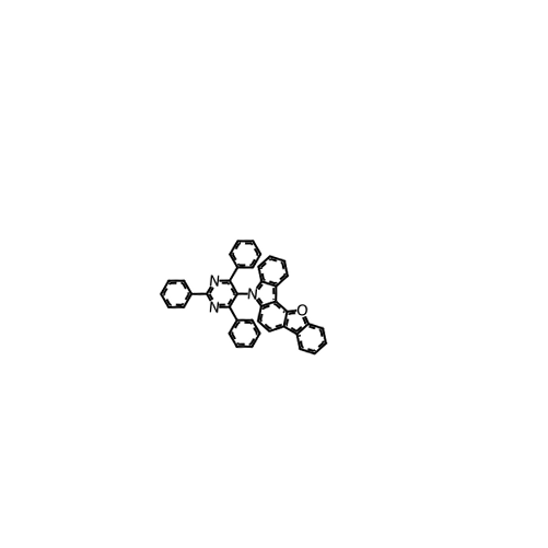 c1ccc(-c2nc(-c3ccccc3)c(-n3c4ccccc4c4c5oc6ccccc6c5ccc43)c(-c3ccccc3)n2)cc1